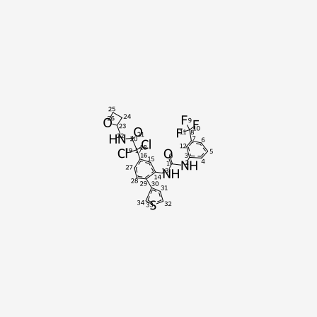 O=C(Nc1cccc(C(F)(F)F)c1)Nc1cc(C(Cl)(Cl)C(=O)NC2CCO2)ccc1-c1ccsc1